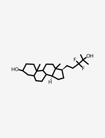 CC12CCC(O)CC1CCC1C2CCC2(C)[C@@H](CCC(F)(F)C(C)(C)O)CC[C@@H]12